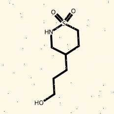 O=S1(=O)CCC(CCCO)CN1